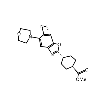 COC(=O)[C@H]1CC[C@H](c2nc3cc(N4CCOCC4)c(N)cc3o2)CC1